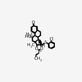 CCC[C@@H]1O[C@@H]2CC3C4CCC5=CC(=O)C=CC5(C)C4[C@@H](O)CC3(C)[C@]2(C(=O)CSc2ccccc2Cl)O1